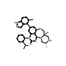 Cc1ccc2[nH]ncc2c1-c1cc2c3c(nc(=O)n(-c4ccccc4C(C)C)c3c1)N1C[C@@H](C)NC[C@H]1CO2